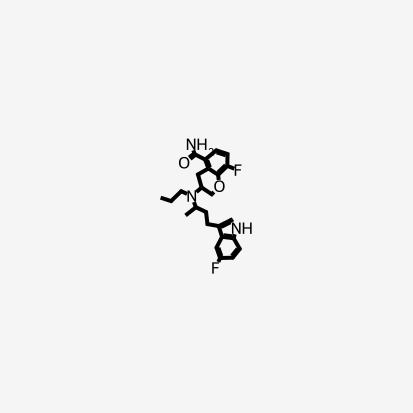 CCCN(C(C)CCc1c[nH]c2ccc(F)cc12)C1COc2c(F)ccc(C(N)=O)c2C1